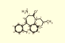 CC(C)CN1C(=O)[C@@H](N)N=C(c2ccccc2F)c2ccccc21